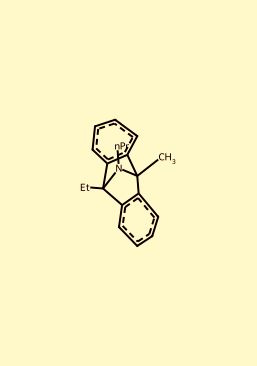 CCCN1C2(C)c3ccccc3C1(CC)c1ccccc12